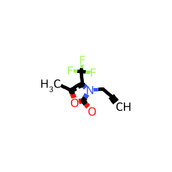 C#CCn1c(C(F)(F)F)c(C)oc1=O